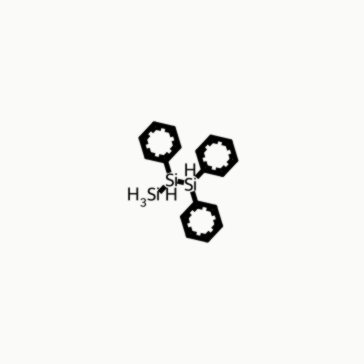 [SiH3][SiH](c1ccccc1)[SiH](c1ccccc1)c1ccccc1